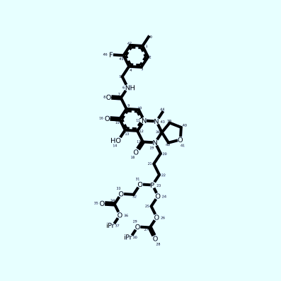 Cc1ccc(CNC(=O)c2cn3c(c(O)c2=O)C(=O)N(CCCP(OCOC(=O)OC(C)C)OCOC(=O)OC(C)C)C2(CCOC2)N3C)c(F)c1